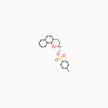 Cc1ccc(S(=O)(=O)OC[C@H]2CCc3ccc4ccccc4c3O2)cc1